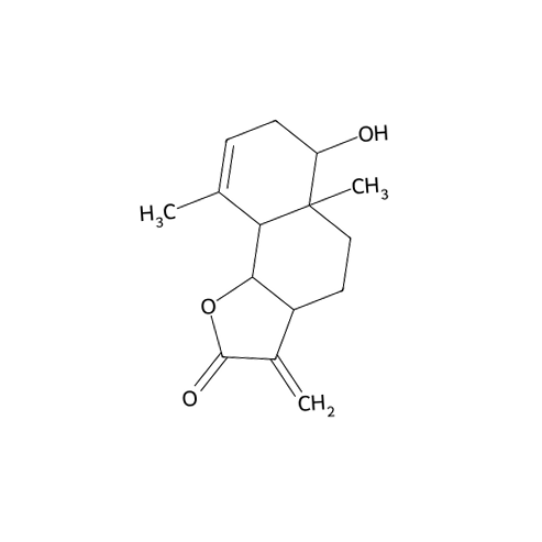 C=C1C(=O)OC2C1CCC1(C)C(O)CC=C(C)C21